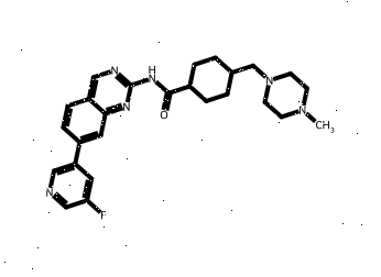 CN1CCN(CC2CCC(C(=O)Nc3ncc4ccc(-c5cncc(F)c5)cc4n3)CC2)CC1